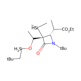 CCOC(=O)C(C)[C@@H]1N(C(C)(C)C)C(=O)[C@]1(C(C)O[SiH2]CC(C)(C)C)[SiH](C)C